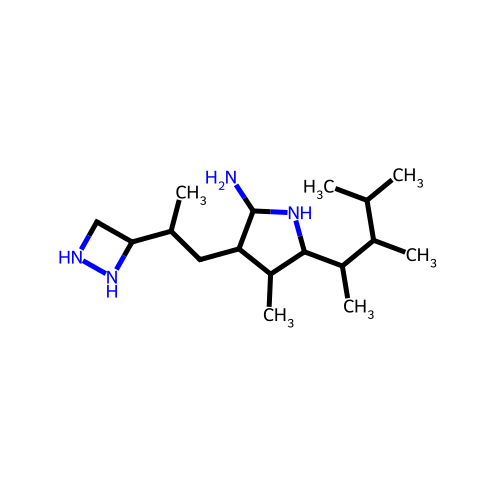 CC(C)C(C)C(C)C1NC(N)C(CC(C)C2CNN2)C1C